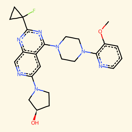 COc1cccnc1N1CCN(c2nc(C3(F)CC3)nc3cnc(N4CC[C@@H](O)C4)cc23)CC1